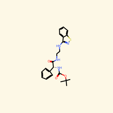 CC(C)(C)OC(=O)N[C@@H](C(=O)NCCNc1nsc2ccccc12)c1ccccc1